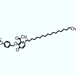 CCCCCCCCCCCCCCCCCCn1ccc(=O)c(OCc2ccc(OC)cc2)c1C(C)=O